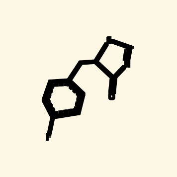 O=C1N=[C]SC1Cc1ccc(F)cc1